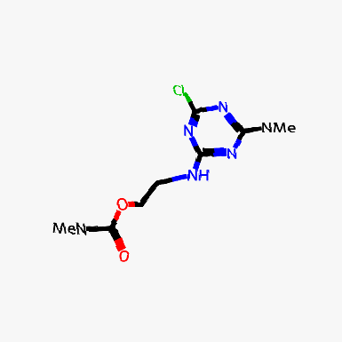 CNC(=O)OCCNc1nc(Cl)nc(NC)n1